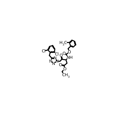 CCOC(=O)CC(NC(=O)OCc1ccccc1C)C(=O)Cn1nnc(Cc2c(Cl)cccc2Cl)n1